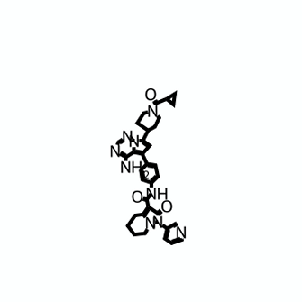 Nc1ncnn2c(C3CCN(C(=O)C4CC4)CC3)cc(-c3ccc(NC(=O)c4c5n(n(-c6cccnc6)c4=O)CCCC5)cc3)c12